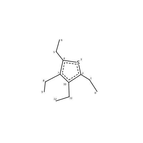 CCc1sc(CC)c(CC)c1CC